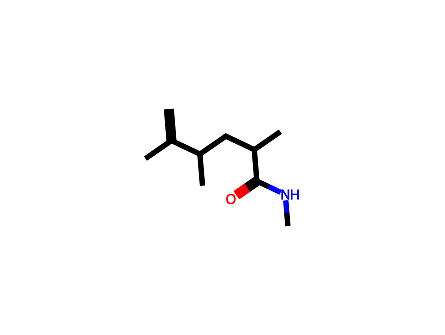 C=C(C)C(C)CC(C)C(=O)NC